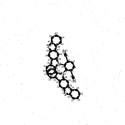 N#Cc1ccc(C#N)c(-n2c3ccccc3c3cc4sc5ccccc5c4cc32)c1-n1c2ccccc2c2cc3sc4ccccc4c3cc21